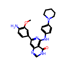 COc1cc(-c2cc3nc[nH]c(=O)c3c(Nc3ccc(N4CCCCC4)cc3)n2)ccc1N